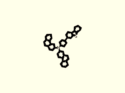 c1ccc2c(c1)ccc1cc(N(c3ccc(-c4ccc5c(c4)sc4ccccc45)cc3)c3ccc4ccc5ccccc5c4c3)ccc12